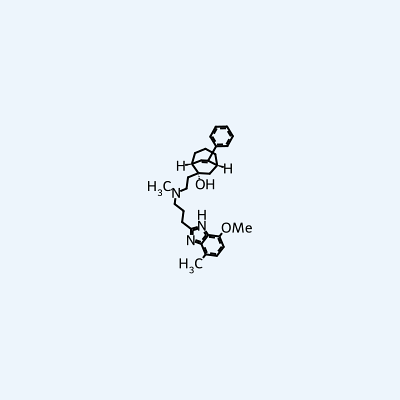 COc1ccc(C)c2nc(CCCN(C)CC[C@]3(O)C[C@H]4CCC[C@@H]3C=C4c3ccccc3)[nH]c12